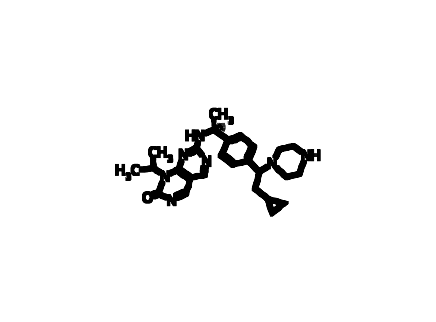 CC(C)n1c(=O)ncc2cnc(N[C@@H](C)c3ccc(C(CC4CC4)N4CCNCC4)cc3)nc21